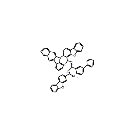 CC(/N=C(\N=C(/N)c1ccc2c(c1)oc1ccccc12)c1cccc(-c2ccccc2)c1)c1c(-n2c3ccccc3c3cc4ccccc4cc32)ccc2c1oc1ccccc12